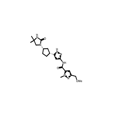 COCc1cc(C(=O)Nc2cc([C@@H]3CC[C@H](N4CC(C)(C)NC4=O)C3)[nH]n2)n(C)n1